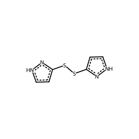 c1cc(SSc2cc[nH]n2)n[nH]1